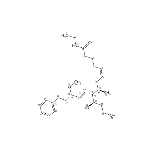 CCNC(=O)CCC/C=C\C[C@@H](C)[C@@H](/C=C/[C@H](CCc1ccccc1)OC)[C@H](O)CCO